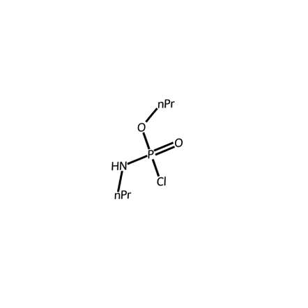 CCCNP(=O)(Cl)OCCC